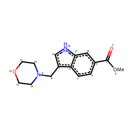 COC(=O)c1ccc2c(CN3CCOCC3)c[nH]c2c1